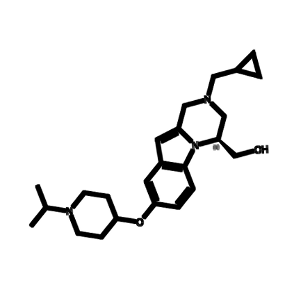 CC(C)N1CCC(Oc2ccc3c(c2)cc2n3[C@H](CO)CN(CC3CC3)C2)CC1